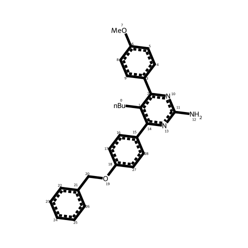 CCCCc1c(-c2ccc(OC)cc2)nc(N)nc1-c1ccc(OCc2ccccc2)cc1